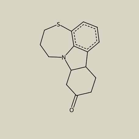 O=C1CCC2c3cccc4c3N(CCCS4)C2C1